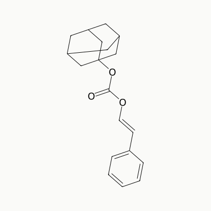 O=C(OC=Cc1ccccc1)OC12CC3CC(CC(C3)C1)C2